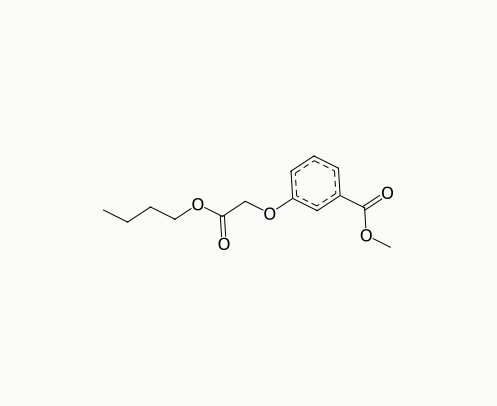 CCCCOC(=O)COc1cccc(C(=O)OC)c1